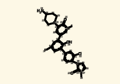 Cn1cc(-c2cc(F)cc(-c3ccc(-n4ccn(C)c4=O)c(Cl)c3)c2O)cc(N2CCC(N)CC2)c1=O